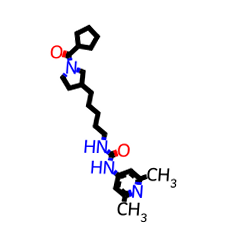 Cc1cc(NC(=O)NCCCCCC2CCN(C(=O)C3CCCC3)C2)cc(C)n1